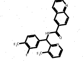 O=C(NC(c1ccc(C(F)(F)F)c(F)c1)c1ncccc1C(F)(F)F)c1ccc2ncccc2c1